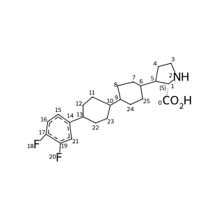 O=C(O)[C@H]1NCCC1C1CCC(C2CCC(c3ccc(F)c(F)c3)CC2)CC1